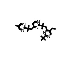 CCc1cnc(C(C)(C)C)nc1CC(C)(C)c1nccc(CC(C)(C)c2ncc(C)cn2)n1